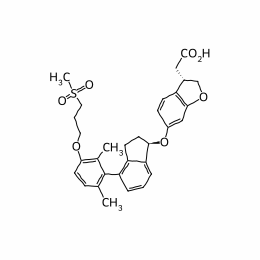 Cc1ccc(OCCCS(C)(=O)=O)c(C)c1-c1cccc2c1CC[C@H]2Oc1ccc2c(c1)OC[C@H]2CC(=O)O